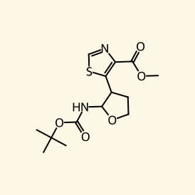 COC(=O)c1ncsc1C1CCOC1NC(=O)OC(C)(C)C